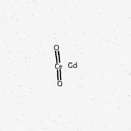 [Gd].[O]=[Ce]=[O]